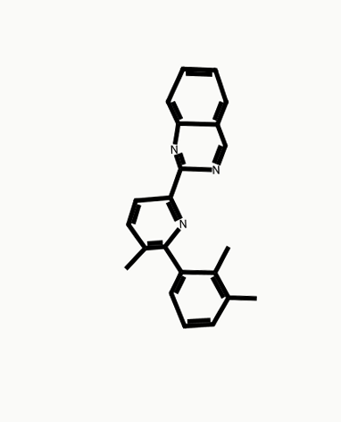 Cc1ccc(-c2ncc3ccccc3n2)nc1-c1cccc(C)c1C